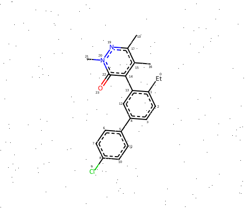 CCc1ccc(-c2ccc(Cl)cc2)cc1-c1c(C)c(C)nn(C)c1=O